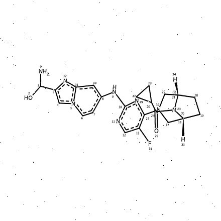 NC(O)c1cn2ccc(Nc3ncc(F)c(N4C[C@H]5CC[C@@H](C4)N5C(=O)C4CC4)n3)cc2n1